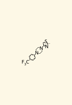 FC(F)(F)c1ccc(N2CCN(c3cs[c]n3)CC2)cc1